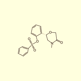 CN1C[C@H](c2ccccc2OS(=O)(=O)c2ccccc2)OCC1=O